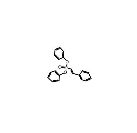 O=P(/C=C/c1ccccc1)(Oc1ccccc1)Oc1ccccc1